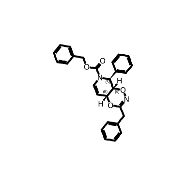 O=C(OCc1ccccc1)N1C=C[C@H]2OC(Cc3ccccc3)=NO[C@H]2[C@@H]1c1ccccc1